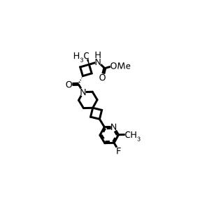 COC(=O)N[C@]1(C)C[C@H](C(=O)N2CCC3(CC2)CC(c2ccc(F)c(C)n2)C3)C1